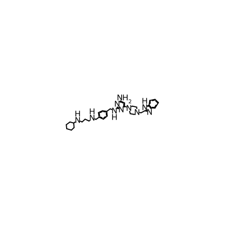 Nc1cc(N2CCN(Cc3nc4ccccc4[nH]3)CC2)nc(NCc2ccc(CNCCCNC3CCCCC3)cc2)n1